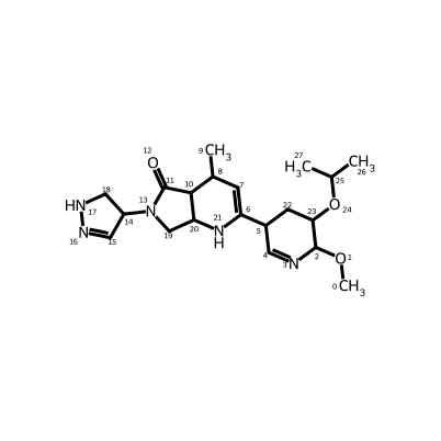 COC1N=CC(C2=CC(C)C3C(=O)N(C4C=NNC4)CC3N2)CC1OC(C)C